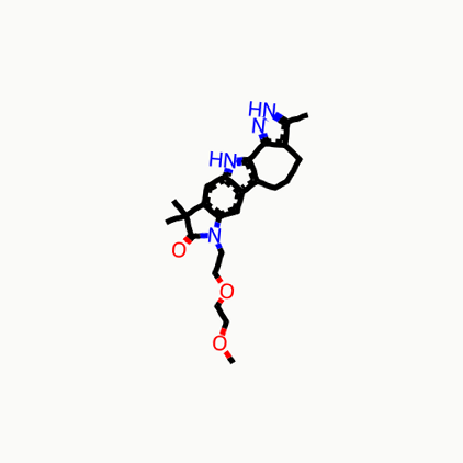 COCCOCCN1C(=O)C(C)(C)c2cc3[nH]c4c(c3cc21)CCCc1c-4n[nH]c1C